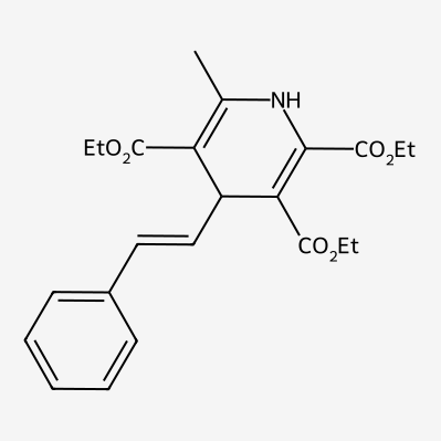 CCOC(=O)C1=C(C(=O)OCC)C(/C=C/c2ccccc2)C(C(=O)OCC)=C(C)N1